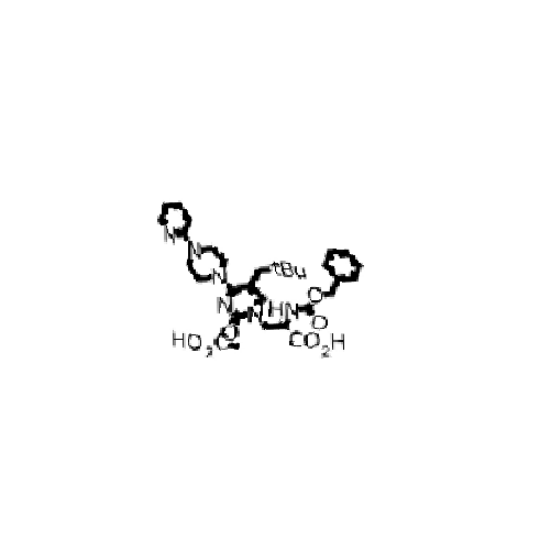 CC(=O)O.CC(C)(C)Cc1cn(C[C@H](NC(=O)OCc2ccccc2)C(=O)O)c(=O)nc1N1CCN(c2ccccn2)CC1